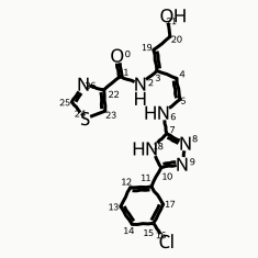 O=C(NC(/C=C\Nc1nnc(-c2cccc(Cl)c2)[nH]1)=C/CO)c1cscn1